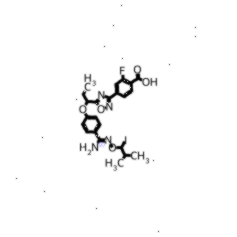 CCC(Oc1ccc(/C(N)=N/OC(I)C(C)C)cc1)c1nc(-c2ccc(C(=O)O)c(F)c2)no1